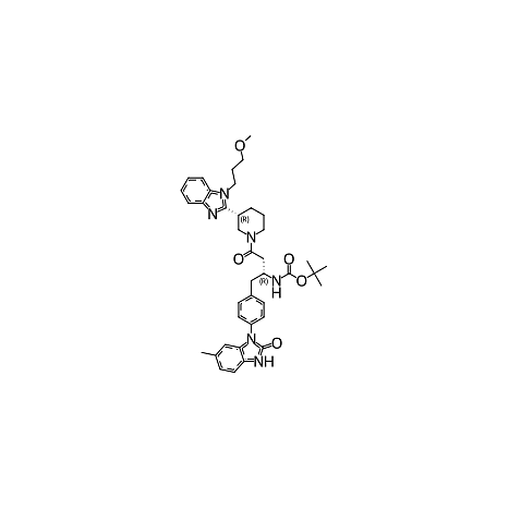 COCCCn1c([C@@H]2CCCN(C(=O)C[C@@H](Cc3ccc(-n4c(=O)[nH]c5ccc(C)cc54)cc3)NC(=O)OC(C)(C)C)C2)nc2ccccc21